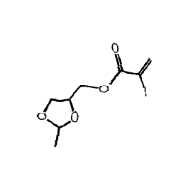 C=C(I)C(=O)OCC1COC(C)O1